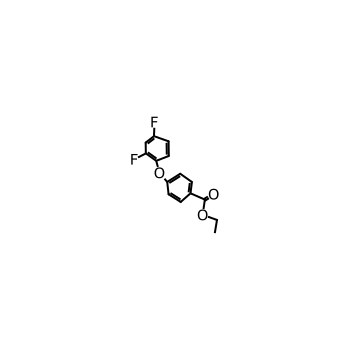 CCOC(=O)c1ccc(Oc2ccc(F)cc2F)cc1